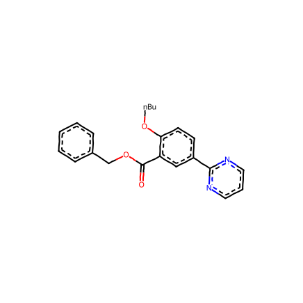 CCCCOc1ccc(-c2ncccn2)cc1C(=O)OCc1ccccc1